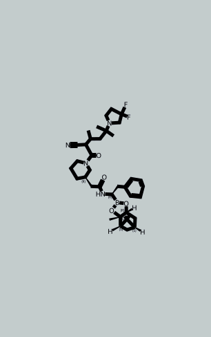 CC(CC(C)(C)N1CCC(F)(F)C1)C(C#N)C(=O)N1CCC[C@H](CC(=O)N[C@@H](Cc2ccccc2)B2O[C@@H]3C[C@@H]4C[C@@H](C4(C)C)[C@]3(C)O2)C1